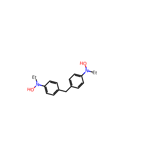 CCN(O)c1ccc(Cc2ccc(N(O)CC)cc2)cc1